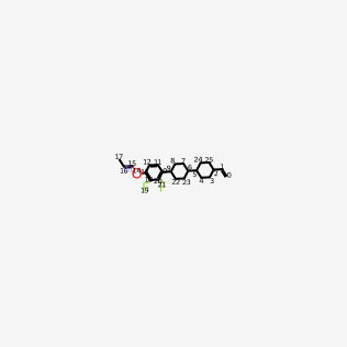 C=CC1CCC(C2CCC(c3ccc(O/C=C/C)c(F)c3F)CC2)CC1